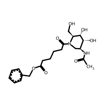 CC(=O)N[C@H]1CN(C(=O)CCCCC(=O)OCc2ccccc2)[C@@H](CO)[C@H](O)[C@@H]1O